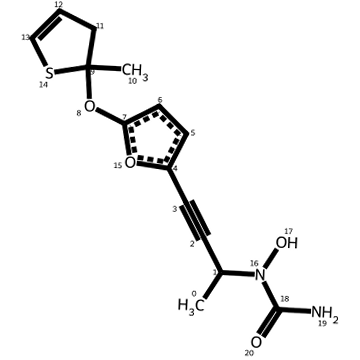 CC(C#Cc1ccc(OC2(C)CC=CS2)o1)N(O)C(N)=O